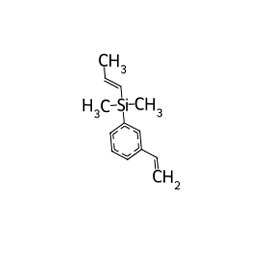 C=Cc1cccc([Si](C)(C)C=CC)c1